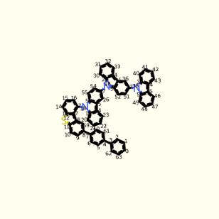 c1ccc(-c2ccc(-c3ccc4sc5cccc(-n6c7ccccc7c7cc(-n8c9ccccc9c9cc(-n%10c%11ccccc%11c%11ccccc%11%10)ccc98)ccc76)c5c4c3)cc2)cc1